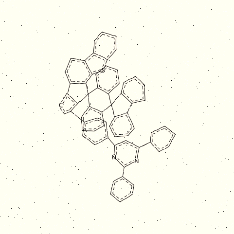 c1ccc(-c2cc(-c3ccc(-c4cccc5c4C4(c6ccccc6C6(c7ccccc7-c7ccccc76)c6ccccc64)c4c-5ccc5c4sc4ccccc45)cc3)nc(-c3ccccc3)n2)cc1